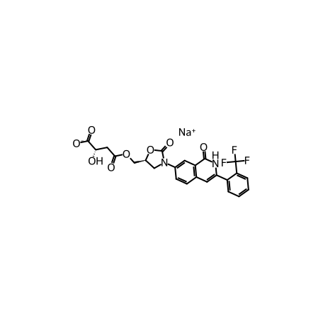 O=C(C[C@H](O)C(=O)[O-])OC[C@@H]1CN(c2ccc3cc(-c4ccccc4C(F)(F)F)[nH]c(=O)c3c2)C(=O)O1.[Na+]